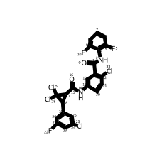 O=C(Nc1c(F)cccc1F)c1cc(NC(=O)C2C(c3cc(F)cc(Cl)c3)C2(Cl)Cl)ccc1Cl